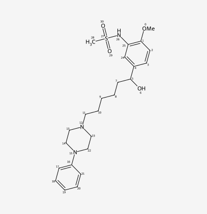 COc1ccc(C(O)CCCCCN2CCN(c3ccccc3)CC2)cc1NS(C)(=O)=O